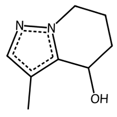 Cc1cnn2c1C(O)CCC2